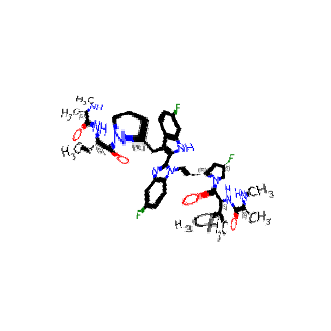 CC[C@H](NC(=O)[C@H](C)NC)C(=O)N1CCC[C@H]1Cc1c(-c2nc3cc(F)ccc3n2CC[C@@H]2C[C@H](F)CN2C(=O)[C@@H](NC(=O)[C@H](C)NC)C(C)C)[nH]c2cc(F)ccc12